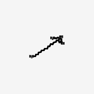 C#CC[N+](O)(CC=C)C(=O)CCCCCCCCCCCCCCCCC